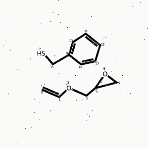 C=COCC1CO1.SCc1ccccc1